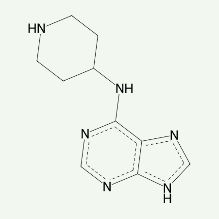 c1nc(NC2CCNCC2)c2nc[nH]c2n1